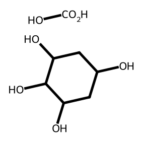 O=C(O)O.OC1CC(O)C(O)C(O)C1